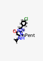 CCCCCn1c(NC2CC2)cc(=O)n2cc(-c3ccc(Cl)cc3)nc12